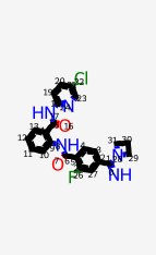 N=C(c1ccc(C(=O)Nc2ccccc2C(=O)Nc2ccc(Cl)cn2)c(F)c1)N1CCC1